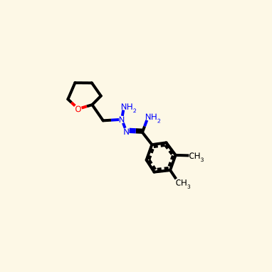 Cc1ccc(/C(N)=N/N(N)CC2CCCCO2)cc1C